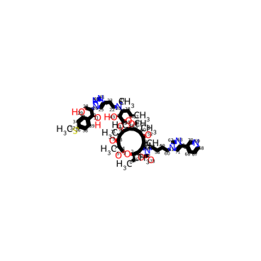 CC[C@H]1OC(=O)[C@H](C)C(=O)[C@H](C)[C@@H](O[C@@H]2O[C@H](C)C[C@H](N(C)CCc3cn(C(CO)[C@@H](O)c4ccc(SC)cc4)nn3)[C@H]2O)[C@](C)(OC)C[C@@H](C)C(=O)[C@H](C)[C@H]2N(CCCCn3cnc(-c4cccnc4)c3)C(=O)O[C@]12C